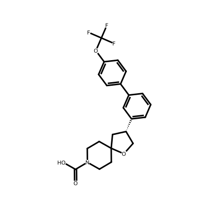 O=C(O)N1CCC2(CC1)C[C@H](c1cccc(-c3ccc(OC(F)(F)F)cc3)c1)CO2